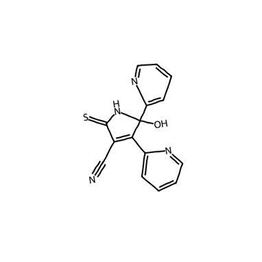 N#CC1=C(c2ccccn2)C(O)(c2ccccn2)NC1=S